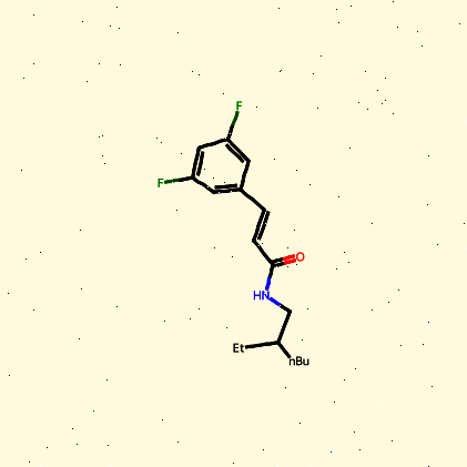 CCCCC(CC)CNC(=O)C=Cc1cc(F)cc(F)c1